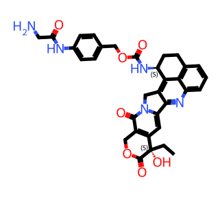 CC[C@@]1(O)C(=O)OCc2c1cc1n(c2=O)Cc2c-1nc1cccc3c1c2[C@@H](NC(=O)OCc1ccc(NC(=O)CN)cc1)CC3